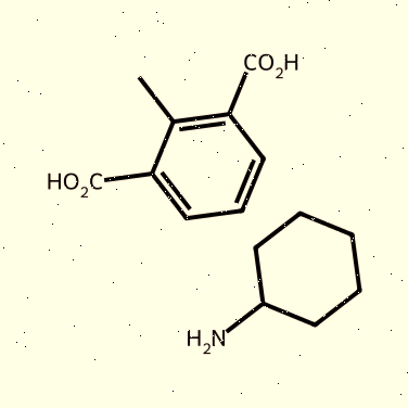 Cc1c(C(=O)O)cccc1C(=O)O.NC1CCCCC1